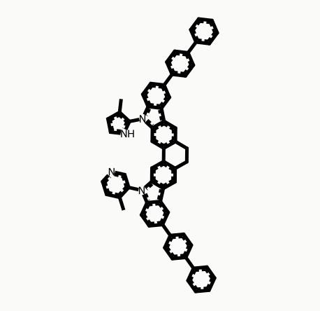 Cc1ccncc1-n1c2ccc(-c3ccc(-c4ccccc4)cc3)cc2c2cc3c(cc21)-c1cc2c(cc1CC3)c1cc(-c3ccc(-c4ccccc4)cc3)ccc1n2-c1[nH]ccc1C